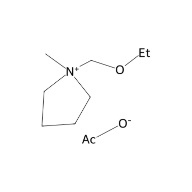 CC(=O)[O-].CCOC[N+]1(C)CCCC1